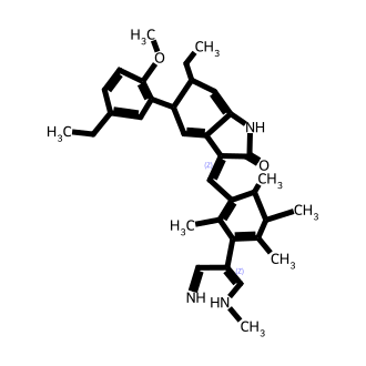 CCc1ccc(OC)c(C2C=C3C(=CC2CC)NC(=O)/C3=C\C2=C(C)C(/C(C=N)=C/NC)=C(C)C(C)C2C)c1